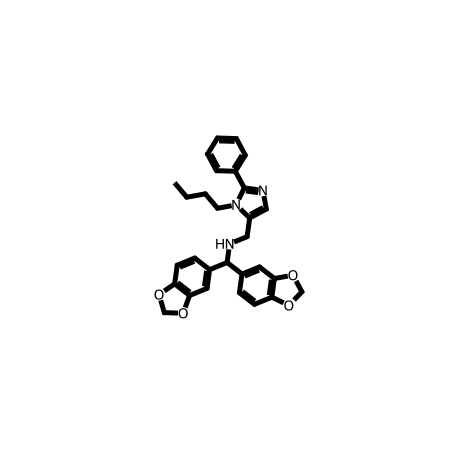 CCCCn1c(CNC(c2ccc3c(c2)OCO3)c2ccc3c(c2)OCO3)cnc1-c1ccccc1